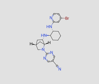 N#Cc1cnc(N2C[C@@H]3C[C@H](N[C@@H]4CCCC[C@H]4Nc4cc(Br)ccn4)[C@H]2C3)nc1